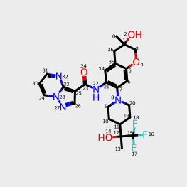 CC1(O)COc2cc(N3CCC(C(C)(O)C(F)(F)F)CC3)c(NC(=O)c3cnn4cccnc34)cc2C1